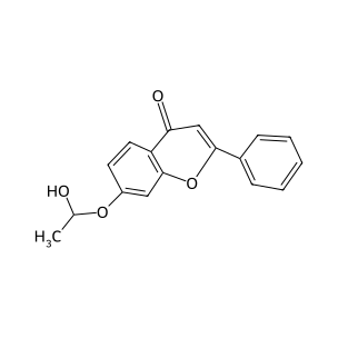 CC(O)Oc1ccc2c(=O)cc(-c3ccccc3)oc2c1